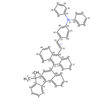 CC1(C)c2ccccc2-c2c1cc(-c1c3ccccc3c(/C=C/c3ccc(N(c4ccccc4)c4ccccc4)cc3)c3ccccc13)c1ccccc21